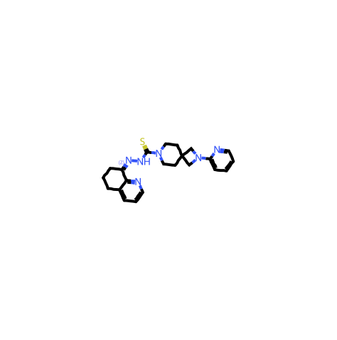 S=C(N/N=C1/CCCc2cccnc21)N1CCC2(CC1)CN(c1ccccn1)C2